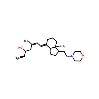 C=CC(O)C/C(=C\C=C1/CCCC2(C)C(CCN3CCOCC3)CCC12)CCC